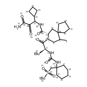 CC1CN(C(=O)[C@@H](NC(=O)NC2(CS(=O)(=O)C(C)(C)C)CCCCC2)C(C)(C)C)[C@H](C(=O)NC(C(=O)C(N)=O)C2CCC2)CC12CCCC2